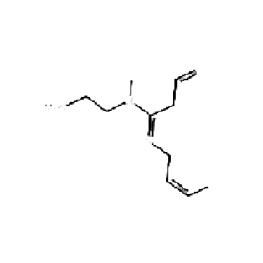 C=CC/C(=N\C/C=C\CC)N(CC)CCNC